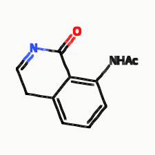 CC(=O)Nc1cccc2c1C(=O)N=CC2